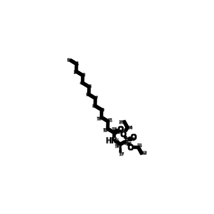 CCCCCCCCCCCCCC(=O)N[C@H](C)P(=O)(OCC)OCC